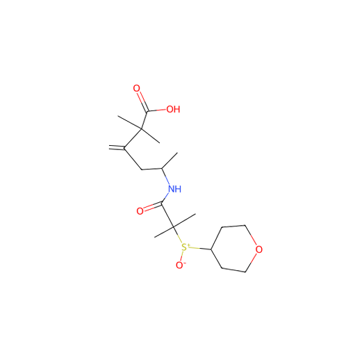 C=C(CC(C)NC(=O)C(C)(C)[S+]([O-])C1CCOCC1)C(C)(C)C(=O)O